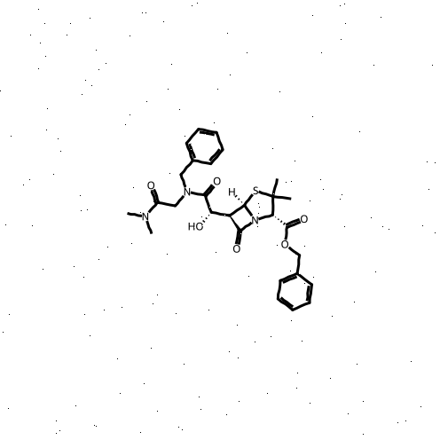 CN(C)C(=O)CN(Cc1ccccc1)C(=O)[C@@H](O)[C@@H]1C(=O)N2[C@@H]1SC(C)(C)[C@@H]2C(=O)OCc1ccccc1